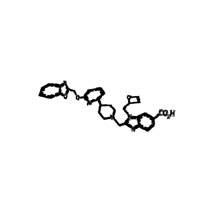 O=C(O)c1ccc2nc(CN3CCC(c4cccc(OCc5nc6ccccc6o5)n4)CC3)n(CC3CCO3)c2c1